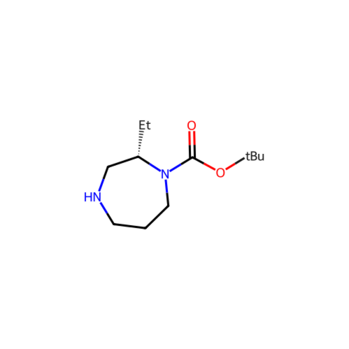 CC[C@H]1CNCCCN1C(=O)OC(C)(C)C